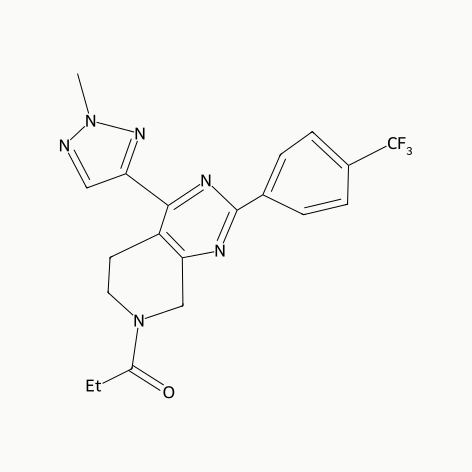 CCC(=O)N1CCc2c(nc(-c3ccc(C(F)(F)F)cc3)nc2-c2cnn(C)n2)C1